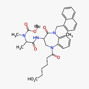 Cc1ccc2ccccc2c1CN1C(=O)C(NC(=O)C(C)N(C)C(=O)OC(C)(C)C)CN(C(=O)CCCCC(=O)O)c2ccccc21